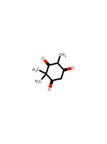 CC1C(=O)CC(=O)C(C)(C)C1=O